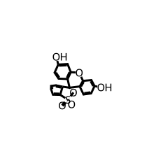 O=S1(=O)OC2(c3ccc(O)cc3Oc3cc(O)ccc32)c2ccccc21